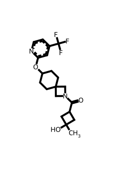 CC1(O)CC(C(=O)N2CC3(CCC(Oc4cc(C(F)(F)F)ccn4)CC3)C2)C1